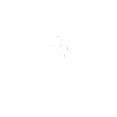 C=Nc1c(C)c(C)c(=O)n(C(C)CCCC(C)C)c1O